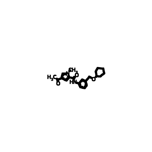 CC(=O)c1cc(C(=O)Nc2cccc(COC3CCCCC3)c2)n(C)c1